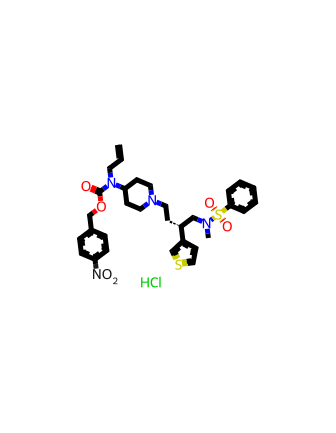 C=CCN(C(=O)OCc1ccc([N+](=O)[O-])cc1)C1CCN(CC[C@H](CN(C)S(=O)(=O)c2ccccc2)c2ccsc2)CC1.Cl